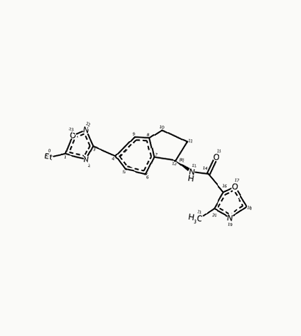 CCc1nc(-c2ccc3c(c2)CC[C@H]3NC(=O)c2ocnc2C)no1